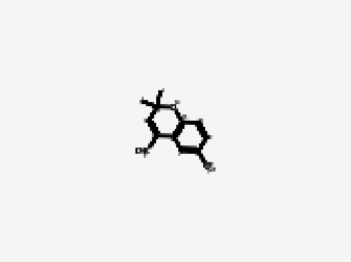 CC1(C)C=C(C=O)c2cc(C(F)(F)F)ccc2O1